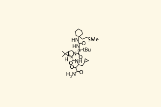 CSCCC1(NC(=O)N[C@H](C(=O)N2CC3[C@@H]([C@H]2C(=O)NC(CC2CC2)C(=O)C(N)=O)C3(C)C)C(C)(C)C)CCCCC1